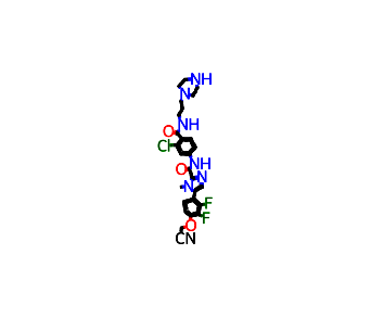 Cn1c(-c2ccc(OCC#N)c(F)c2F)cnc1C(=O)Nc1ccc(C(=O)NCCCN2CCNCC2)c(Cl)c1